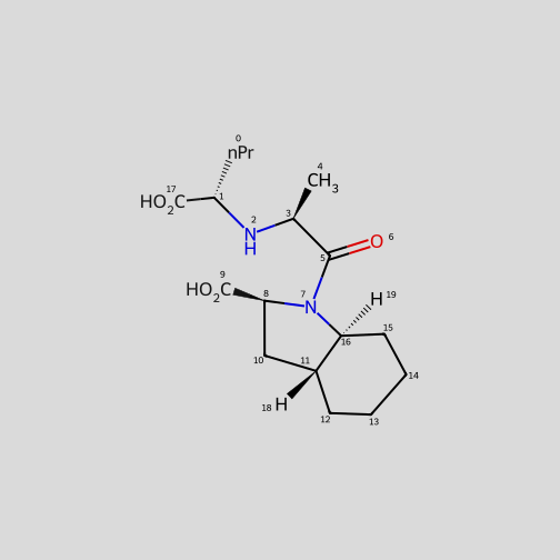 CCC[C@H](N[C@@H](C)C(=O)N1[C@H](C(=O)O)C[C@H]2CCCC[C@@H]21)C(=O)O